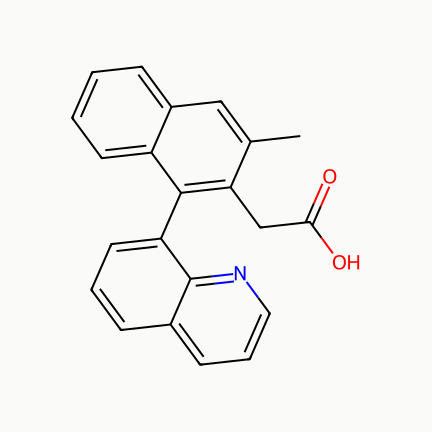 Cc1cc2ccccc2c(-c2cccc3cccnc23)c1CC(=O)O